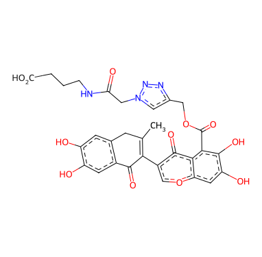 CC1=C(c2coc3cc(O)c(O)c(C(=O)OCc4cn(CC(=O)NCCCC(=O)O)nn4)c3c2=O)C(=O)c2cc(O)c(O)cc2C1